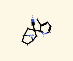 Cc1cccnc1C1(C#N)CC2CCC(C1)N2